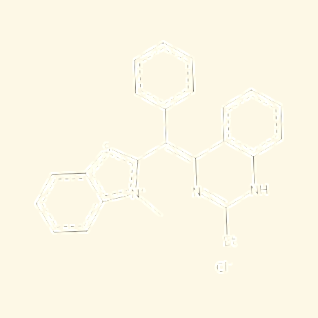 CCC1=NC(=C(c2ccccc2)c2sc3ccccc3[n+]2C)c2ccccc2N1.[Cl-]